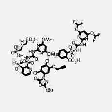 C#CCOc1cc(-n2nc(C(C)(C)C)oc2=O)c(Cl)cc1Cl.CCS(=O)(=O)c1cccnc1S(=O)(=O)NC(=O)Nc1nc(OC)cc(OC)n1.O=C(Nc1nc(OC(F)F)cc(OC(F)F)n1)NS(=O)(=O)c1ccccc1C(=O)O.O=C(O)CNCP(=O)(O)O